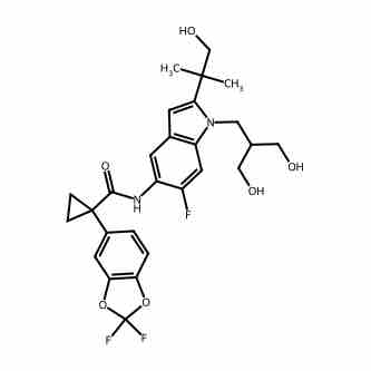 CC(C)(CO)c1cc2cc(NC(=O)C3(c4ccc5c(c4)OC(F)(F)O5)CC3)c(F)cc2n1CC(CO)CO